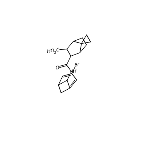 O=C(O)C1C(C(=O)NC2C3=CC(Br)=CC2C3)C2CCC1C21CC1